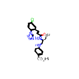 CC(C)(C)C[C@@H](CNc1ccc(C(=O)O)cc1)NC(=O)/C=C/c1cc(Cl)ccc1-n1cnnn1